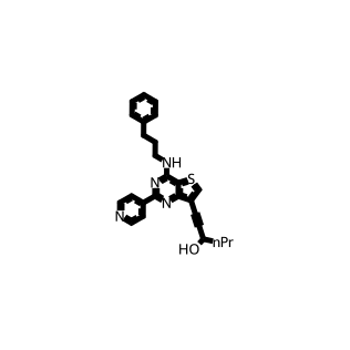 CCCC(O)C#Cc1csc2c(NCCCc3ccccc3)nc(-c3ccncc3)nc12